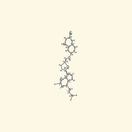 Cc1nc(/N=C/N(C)C)c2ccn([C@H]3CC[C@@H](COc4ccc5cc(Br)cnc5c4)O3)c2n1